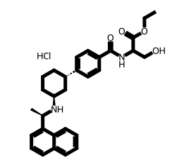 CCOC(=O)C(CO)NC(=O)c1ccc([C@H]2CCC[C@H](N[C@H](C)c3cccc4ccccc34)C2)cc1.Cl